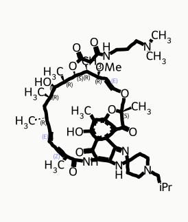 CO[C@H]1/C=C/O[C@@]2(C)Oc3c(C)c(O)c4c(c3C2=O)C2=NC3(CCN(CC(C)C)CC3)NC2=C(NC(=O)/C(C)=C\C=C\[C@H](C)C[C@@H](C)[C@@H](O)[C@@H](C)[C@H](OC(=O)CC(=O)NCCCN(C)C)[C@@H]1C)C4=O